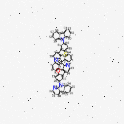 c1ccc([Si](c2ccccc2)(c2nccc3c2oc2ccc(-n4c5ccccc5c5cccnc54)cc23)c2nccc3c2sc2ccc(-n4c5ccccc5c5ccccc54)cc23)cc1